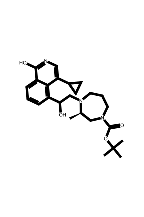 C[C@@H]1CN(C(=O)OC(C)(C)C)CCCN1CC(O)c1cccc2c(O)ncc(C3CC3)c12